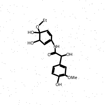 CCOC1(O)C=CC(NC(=O)C(O)c2ccc(O)c(OC)c2)=CC1O